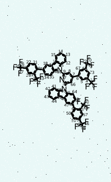 FC(F)(F)c1cc(-c2cc(-n3c4ccccc4c4cc(-c5ccc(C(F)(F)F)cc5C(F)(F)F)ccc43)nc(-n3c4ccccc4c4cc(-c5ccc(C(F)(F)F)cc5C(F)(F)F)ccc43)c2)cc(C(F)(F)F)c1